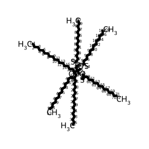 CCCCCCCCCCCCCCCCCCC(CCCCCCCCCCCCCCCCCC)(OC(=S)CCCCCCCCCCCCCC)C(COC(=S)CCCCCCCCCCCCCC)(COC(=S)CCCCCCCCCCCCCC)COC(=S)CCCCCCCCCCCCCC